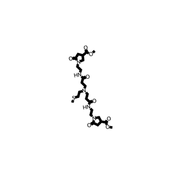 COC(=O)C1CC(=O)N(CCNC(=O)CCN(CCSC)CCC(=O)NCCN2CC(C(=O)OC)CC2=O)C1